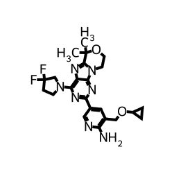 CC1(C)OCCn2c1nc1c(N3CCC(F)(F)C3)nc(-c3cnc(N)c(COC4CC4)c3)nc12